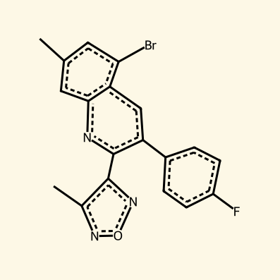 Cc1cc(Br)c2cc(-c3ccc(F)cc3)c(-c3nonc3C)nc2c1